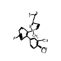 C[N+]1(c2ccc(F)cc2-c2ccc(Cl)c(Cl)c2)C=CC(C(F)F)=N1